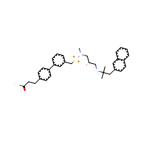 CN(C[C@H](O)CNC(C)(C)Cc1ccc2ccccc2c1)S(=O)(=O)Cc1cccc(-c2ccc(CCC(=O)O)cc2)c1